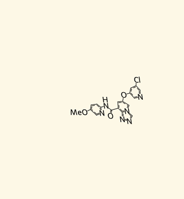 COc1ccc(NC(=O)c2cc(Oc3cncc(Cl)c3)cn3cnnc23)nc1